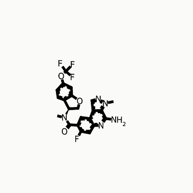 CN(C(=O)c1cc2c(cc1F)nc(N)c1c2cnn1C)[C@@H]1COc2cc(OC(F)(F)F)ccc21